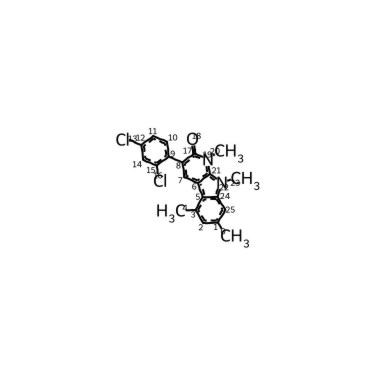 Cc1cc(C)c2c3cc(-c4ccc(Cl)cc4Cl)c(=O)n(C)c3n(C)c2c1